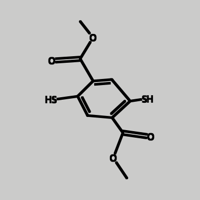 COC(=O)c1cc(S)c(C(=O)OC)cc1S